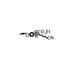 CC#CCOc1ccc(S(=O)(=O)C(CCCCCC#N)C(=O)OCC)cc1